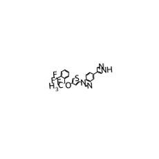 C[C@@H](Oc1csc(-n2cnc3cc(-c4cn[nH]c4)ccc32)c1)c1ccccc1C(F)(F)F